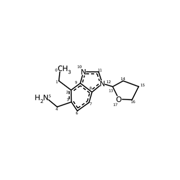 CCc1c(CN)ccc2c1ncn2C1CCCO1